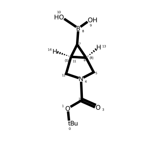 CC(C)(C)OC(=O)N1C[C@@H]2C(B(O)O)[C@@H]2C1